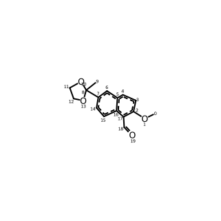 COc1ccc2cc(C3(C)OCCO3)ccc2c1C=O